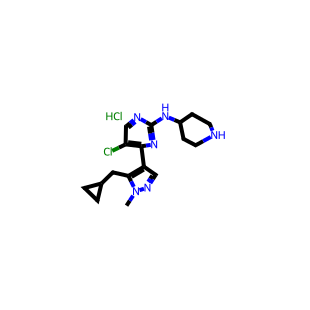 Cl.Cn1ncc(-c2nc(NC3CCNCC3)ncc2Cl)c1CC1CC1